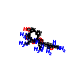 NCCC[C@H](NC(=O)[C@@H]1Cc2cccc(c2)-c2ccc(O)c(c2)C[C@H](N)C(=O)N[C@@H](CCCN)C(=O)N1)C(=O)NCCC[C@H](N)CC(=O)NCCN